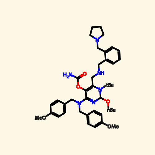 CCCCOC1N=C(N(Cc2ccc(OC)cc2)Cc2ccc(OC)cc2)C(OC(N)=O)=C(CNCc2ccccc2CN2CCCC2)N1C(C)(C)C